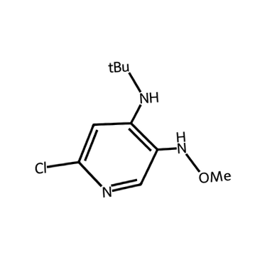 CONc1cnc(Cl)cc1NC(C)(C)C